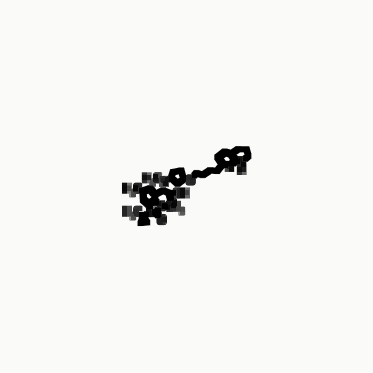 Cc1cc([C@@H](C(=O)O)N(C)[C@H]2CC[C@H](OCCCCc3ccc4c(n3)NCCC4)C2)c2c(c1)n(C1(C)CC1)c(=O)n2C